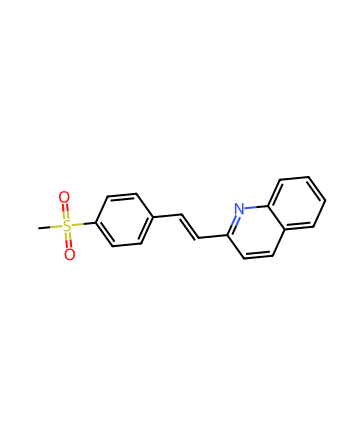 CS(=O)(=O)c1ccc(C=Cc2ccc3ccccc3n2)cc1